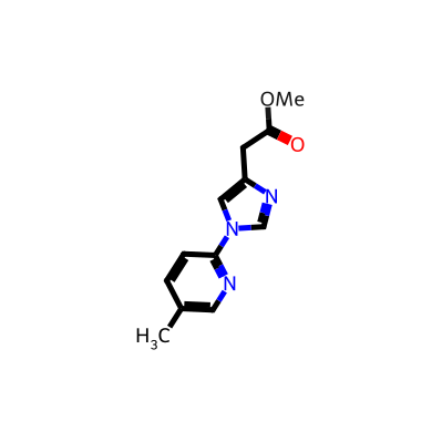 COC(=O)Cc1cn(-c2ccc(C)cn2)cn1